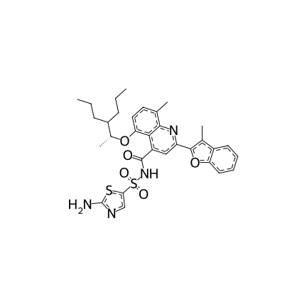 CCCC(CCC)[C@@H](C)Oc1ccc(C)c2nc(-c3oc4ccccc4c3C)cc(C(=O)NS(=O)(=O)c3cnc(N)s3)c12